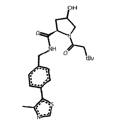 Cc1ncsc1-c1ccc(CNC(=O)[C@H]2CC(O)CN2C(=O)CC(C)(C)C)cc1